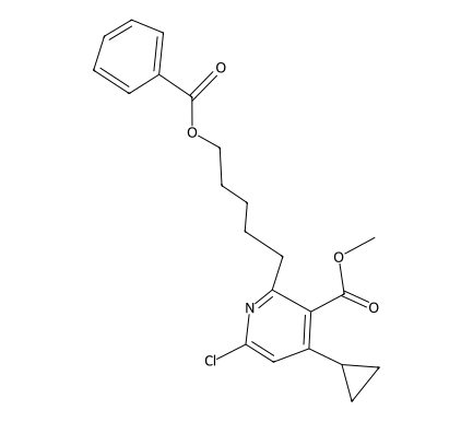 COC(=O)c1c(C2CC2)cc(Cl)nc1CCCCCOC(=O)c1ccccc1